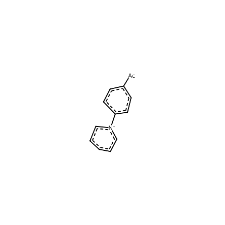 CC(=O)c1ccc(-[n+]2ccccc2)cc1